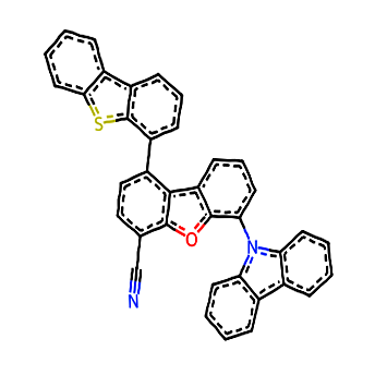 N#Cc1ccc(-c2cccc3c2sc2ccccc23)c2c1oc1c(-n3c4ccccc4c4ccccc43)cccc12